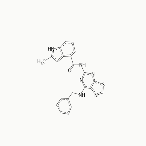 Cc1cc2c(C(=O)Nc3nc(NCc4ccccc4)c4ncsc4n3)cccc2[nH]1